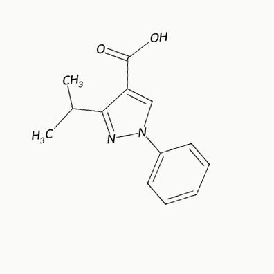 CC(C)c1nn(-c2ccccc2)cc1C(=O)O